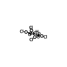 O=C(Nc1ccc(Cl)cc1C(=O)c1ccc(Cl)cc1)c1cc(Cl)ccc1NS(=O)(=O)c1ccc(Cl)cc1